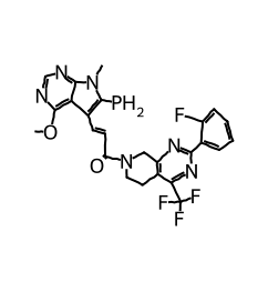 COc1ncnc2c1c(/C=C/C(=O)N1CCc3c(nc(-c4ccccc4F)nc3C(F)(F)F)C1)c(P)n2C